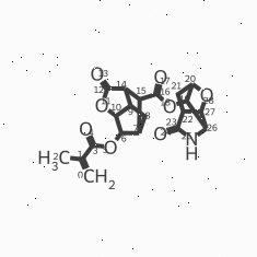 C=C(C)C(=O)OC1C2CC3C1OC(=O)C3C2C(=O)OC1C2CC3C(=O)NC1C3O2